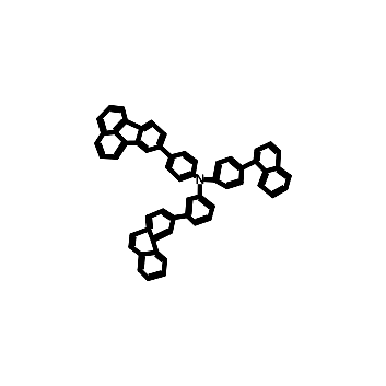 c1cc(-c2ccc3ccc4ccccc4c3c2)cc(N(c2ccc(-c3ccc4c(c3)-c3cccc5cccc-4c35)cc2)c2ccc(-c3cccc4ccccc34)cc2)c1